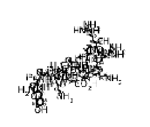 CC(C)C[C@H](NC(=O)[C@H](CC(C)C)NC(=O)[C@H](CCCCN)NC(=O)[C@H](CCCNC(=N)N)NC(=O)[C@@H]1CCCN1C(=O)[C@@H](C)CCCNC(=N)N)C(=O)N[C@@H](C)C(=O)N[C@@H](CCC(=O)O)C(=O)N[C@@H](CCCCN)C(=O)N[C@H](C(=O)N[C@H](C(=O)N[C@@H](Cc1ccc(O)cc1)C(N)=O)C(C)C)C(C)C